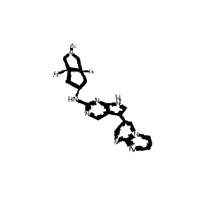 CC(=O)N1C[C@H]2C[C@H](Nc3ncc4c(-c5cnc6nccn6c5)c[nH]c4n3)C[C@H]2C1